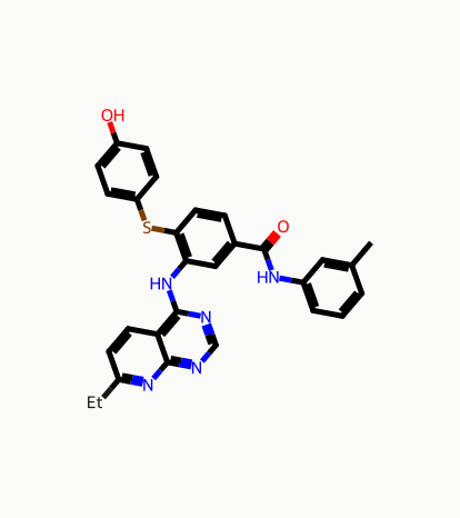 CCc1ccc2c(Nc3cc(C(=O)Nc4cccc(C)c4)ccc3Sc3ccc(O)cc3)ncnc2n1